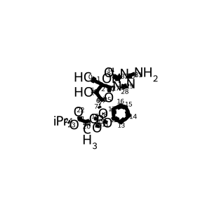 C#CC1(O)[C@@H](O)[C@@H](CO[P@](=O)(Oc2ccccc2)O[C@@H](C)C(=O)OC(C)C)O[C@H]1n1cnc(N)nc1=O